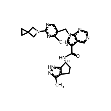 Cc1nc(N2CC3(CC3)C2)ncc1Cn1cc(C(=O)N[C@@H]2CCc3c(C)n[nH]c32)c2cncnc21